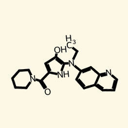 CCN(c1ccc2cccnc2c1)c1[nH]c(C(=O)N2CCCCC2)cc1O